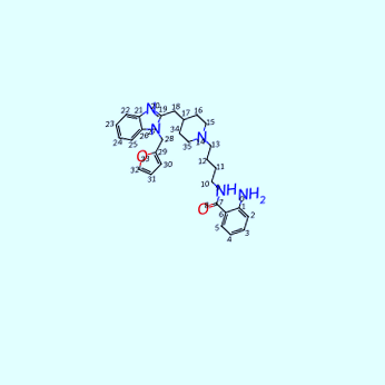 Nc1ccccc1C(=O)NCCCCN1CCC(Cc2nc3ccccc3n2Cc2ccco2)CC1